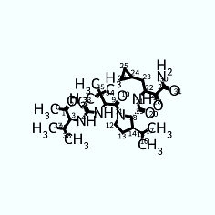 CC(=O)[C@@H](NC(=O)N[C@H](C(=O)N1CC[C@H](C(C)C)[C@H]1C(=O)NC(CC1CC1)C(=O)C(N)=O)C(C)(C)C)C(C)C